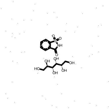 O=C1NS(=O)(=O)c2ccccc21.OC[C@@H](O)[C@@H](O)[C@H](O)[C@@H](O)CO